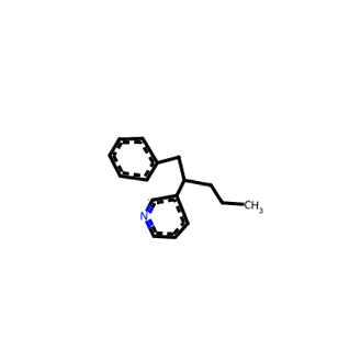 CCCC(Cc1ccccc1)c1[c]nccc1